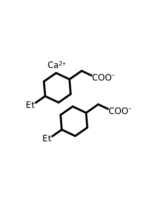 CCC1CCC(CC(=O)[O-])CC1.CCC1CCC(CC(=O)[O-])CC1.[Ca+2]